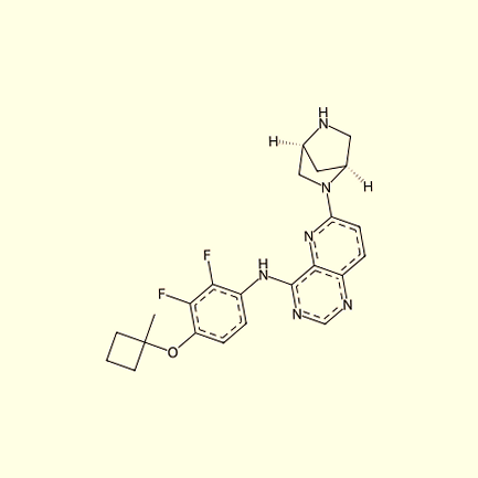 CC1(Oc2ccc(Nc3ncnc4ccc(N5C[C@@H]6C[C@H]5CN6)nc34)c(F)c2F)CCC1